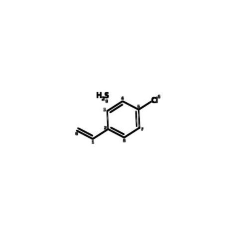 C=Cc1ccc(Cl)cc1.S